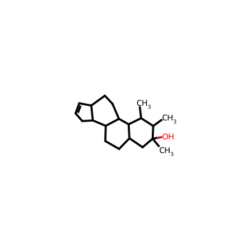 CC1C2C(CCC3C4CC=CC4CCC32)CC(C)(O)C1C